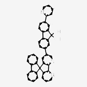 CC1(C)c2cc(-c3cnc4c(c3)C3(c5ccccc5-c5ccccc53)c3cccnc3-4)ccc2-c2ccc(-c3ccccn3)cc21